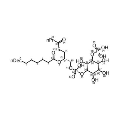 CCCCCCCCCCCCCCCC(=O)O[C@@H](COP(=O)(O)OC1C(O)[C@@H](OP(=O)(O)O)C(O)[C@@H](O)[C@H]1O)CSC(=O)CCC